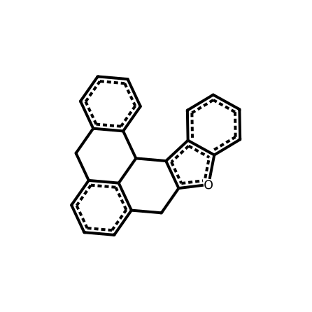 c1ccc2c(c1)Cc1cccc3c1C2c1c(oc2ccccc12)C3